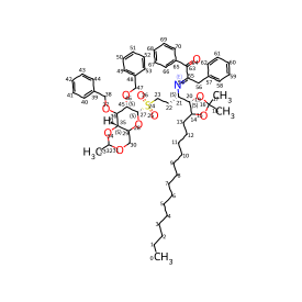 CCCCCCCCCCCCCCC1OC(C)(C)O[C@H]1[C@H](CCS(=O)(=O)[C@@H]1OC2COC(C)O[C@@H]2C(OCc2ccccc2)[C@@H]1OCc1ccccc1)/N=C(\Cc1ccccc1)C(=O)c1ccccc1